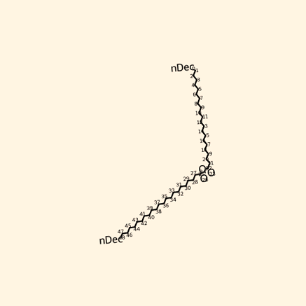 CCCCCCCCCCCCCCCCCCCCCCCCCCCCCCCC(=O)OC(=O)CCCCCCCCCCCCCCCCCCCCCCCCCCCCCCC